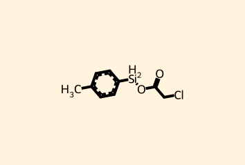 Cc1ccc([SiH2]OC(=O)CCl)cc1